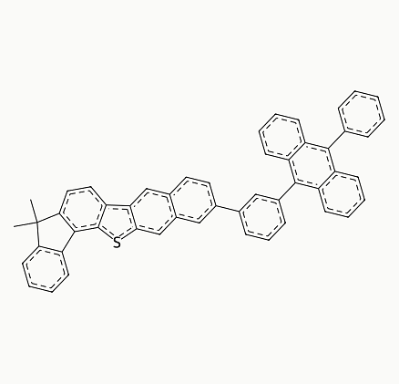 CC1(C)c2ccccc2-c2c1ccc1c2sc2cc3cc(-c4cccc(-c5c6ccccc6c(-c6ccccc6)c6ccccc56)c4)ccc3cc21